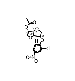 CC(=O)O[C@H]1CO[C@@H]2[C@@H](Oc3ccc([N+](=O)[O-])cc3Cl)CO[C@]12C